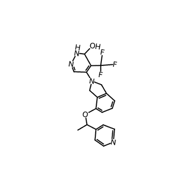 CC(Oc1cccc2c1CN(C1=C(C(F)(F)F)C(O)NN=C1)C2)c1ccncc1